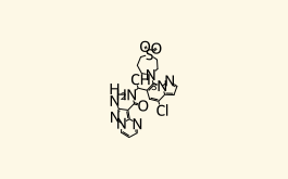 CC(NC(=O)c1c(N)nn2cccnc12)c1cc(Cl)c2ccnn2c1N1CCCS(=O)(=O)CC1